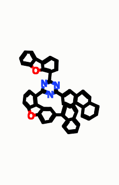 C1=CC2C=Cc3cc(-c4nc(-c5cccc6c5oc5ccccc56)nc(-c5cccc6oc7ccc(-c8cccc9ccccc89)cc7c56)n4)ccc3C2C=C1